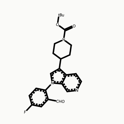 CC(C)(C)OC(=O)N1CCC(c2cn(-c3ccc(F)cc3C=O)c3cnccc23)CC1